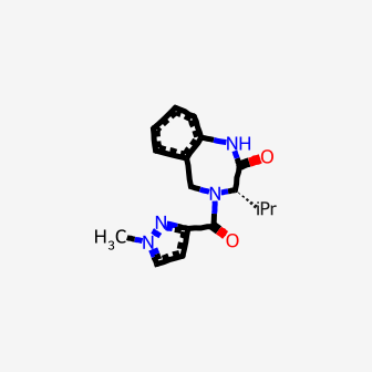 CC(C)[C@H]1C(=O)Nc2ccccc2CN1C(=O)c1ccn(C)n1